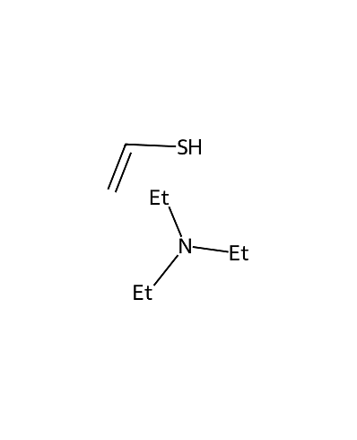 C=CS.CCN(CC)CC